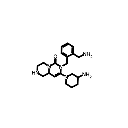 NCc1ccccc1CN1C(=O)N2CCNCC2C=C1N1CCCC(N)C1